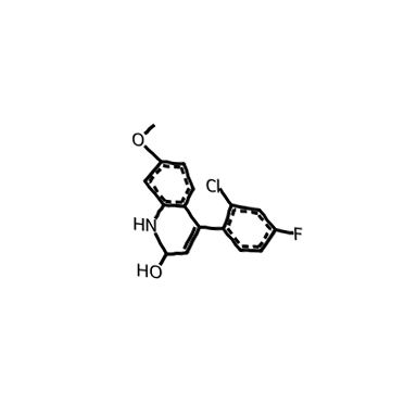 COc1ccc2c(c1)NC(O)C=C2c1ccc(F)cc1Cl